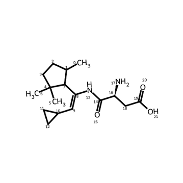 CC1CCC(C)(C)C1C(=CC1CC1)NC(=O)[C@@H](N)CC(=O)O